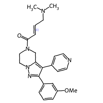 COc1cccc(-c2nn3c(c2-c2ccncc2)CN(C(=O)/C=C/CN(C)C)CC3)c1